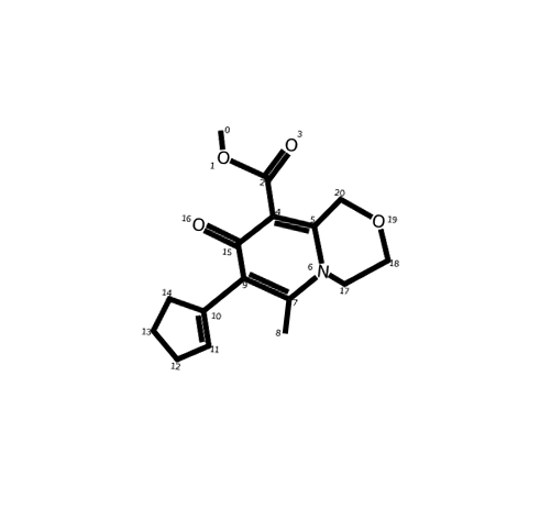 COC(=O)c1c2n(c(C)c(C3=CCCC3)c1=O)CCOC2